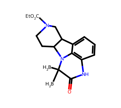 BC1(B)C(=O)Nc2cccc3c2N1C1CCN(C(=O)OCC)CC31